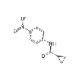 O=C(Nc1ccc([N+](=O)[O-])cc1)C1CC1